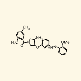 COc1ccccc1SNc1cccc(OC2CN(C(=O)c3cc(C)ccc3C)CC2N)c1